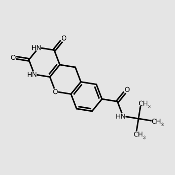 CC(C)(C)NC(=O)c1ccc2c(c1)Cc1c([nH]c(=O)[nH]c1=O)O2